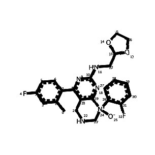 Cc1cc(F)ccc1-c1nc(NCC2OCCO2)nc2c1CNC[N+]2([O-])c1ccccc1F